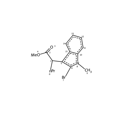 CCCC(C(=O)OC)c1c(Br)n(C)c2ccccc12